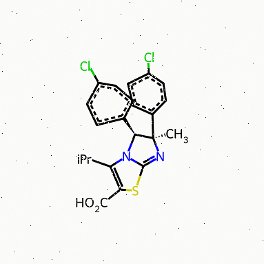 CC(C)C1=C(C(=O)O)SC2=N[C@](C)(c3ccc(Cl)cc3)[C@H](c3ccc(Cl)cc3)N21